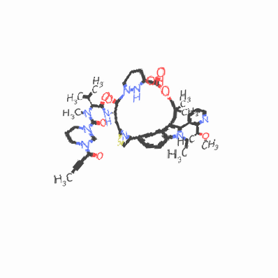 CC#CC(=O)N1CCCN(C(=O)N(C)[C@H](C(=O)N[C@H]2Cc3nc(cs3)-c3ccc4c(c3)c(c(-c3cccnc3[C@H](C)OC)n4CC)CC(C)(C)COC(=O)[C@@]3(O)CCCN(N3)C2=O)C(C)C)C1